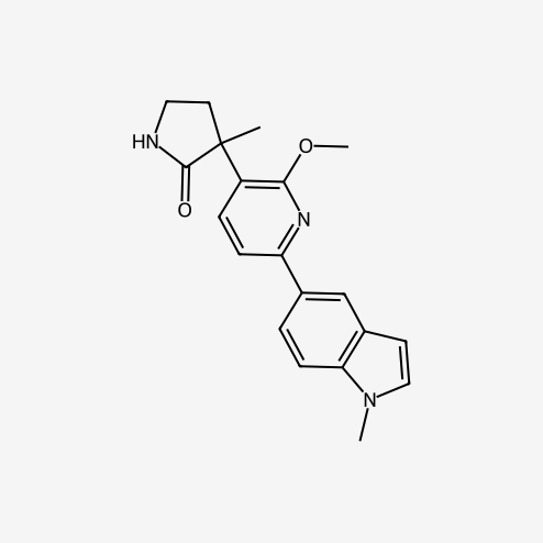 COc1nc(-c2ccc3c(ccn3C)c2)ccc1C1(C)CCNC1=O